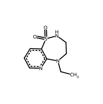 CCN1CCNS(=O)(=O)c2cccnc21